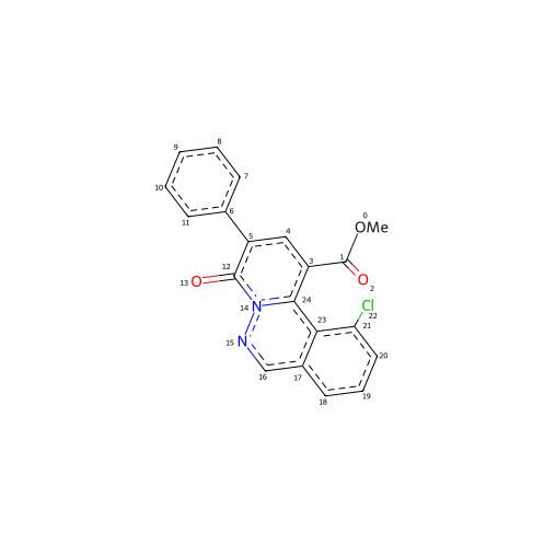 COC(=O)c1cc(-c2ccccc2)c(=O)n2ncc3cccc(Cl)c3c12